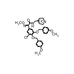 CO/N=C(\C(=O)NCC12CCN(CC1)CC2)c1cc(Cl)c(OCc2ccc(OC)cc2)c(OCc2ccc(OC)cc2)c1